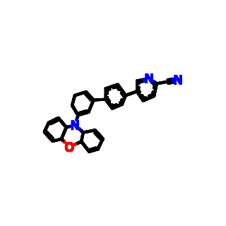 N#Cc1ccc(-c2ccc(C3=CCCC(N4C5C=CC=CC5OC5C=CC=CC54)=C3)cc2)cn1